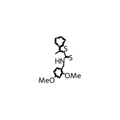 COc1ccc(CNC(=S)c2sc3ccccc3c2C)c(OC)c1